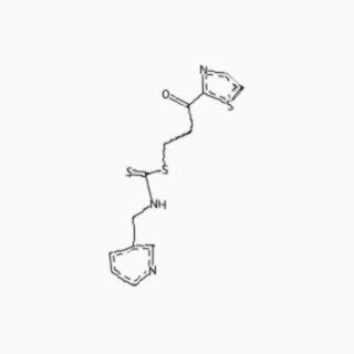 O=C(CCSC(=S)NCc1cccnc1)c1nccs1